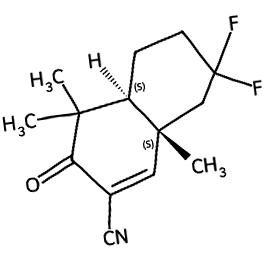 CC1(C)C(=O)C(C#N)=C[C@@]2(C)CC(F)(F)CC[C@H]12